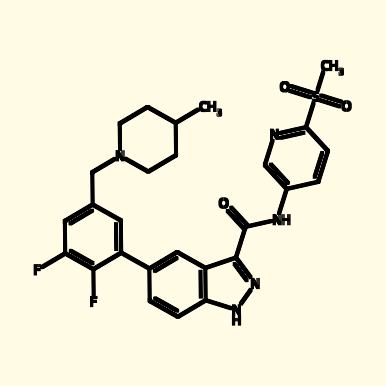 CC1CCN(Cc2cc(F)c(F)c(-c3ccc4[nH]nc(C(=O)Nc5ccc(S(C)(=O)=O)nc5)c4c3)c2)CC1